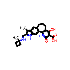 Cc1c(CNC2(C)CCC2)[nH]c2cc3c(cc12)CCCc1c-3[nH]c(=O)c(C(=O)O)c1O